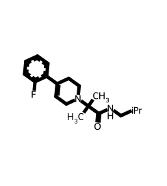 CC(C)CNC(=O)C(C)(C)N1CC=C(c2ccccc2F)CC1